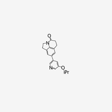 CC(C)Oc1cncc(-c2cc3c4c(c2)CCN4C(=O)CC3)c1